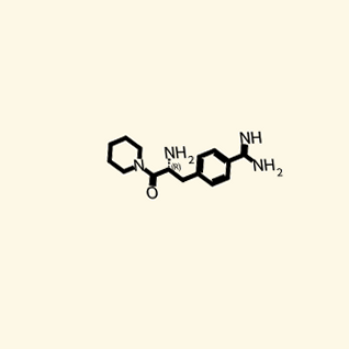 N=C(N)c1ccc(C[C@@H](N)C(=O)N2CCCCC2)cc1